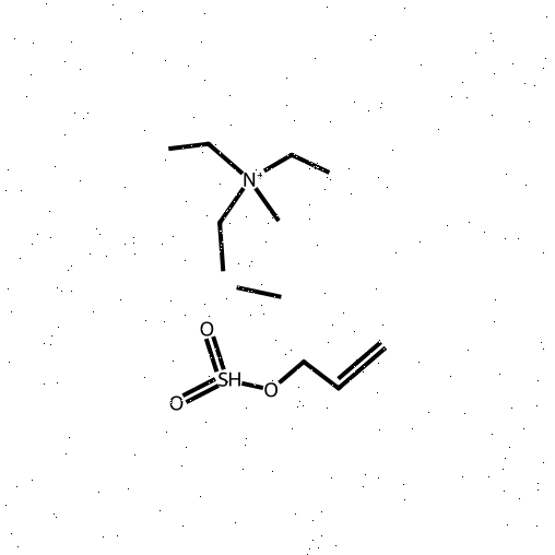 C=CCO[SH](=O)=O.CC.CC[N+](C)(CC)CC